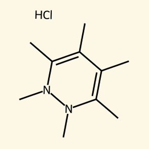 CC1=C(C)N(C)N(C)C(C)=C1C.Cl